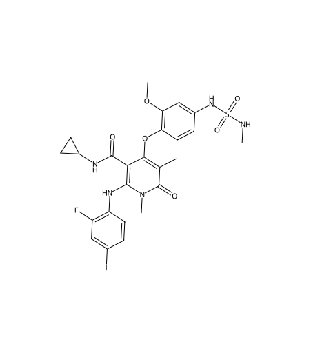 CNS(=O)(=O)Nc1ccc(Oc2c(C(=O)NC3CC3)c(Nc3ccc(I)cc3F)n(C)c(=O)c2C)c(OC)c1